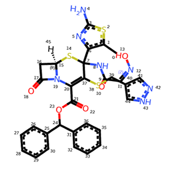 Cc1sc(N)nc1C1(NC(=O)/C=N\O)S[C@@H]2CC(=O)N2C(C(=O)OC(c2ccccc2)c2ccccc2)=C1SCc1cn[nH]c1